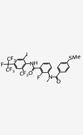 CSc1ccc(C(=O)N(C)c2cccc(C(=O)Nc3c(I)cc(C(F)(C(F)(F)F)C(F)(F)F)cc3C(F)(F)F)c2F)cc1